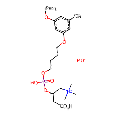 CCCCCOc1cc(C#N)cc(OCCCCOP(=O)(O)OC(CC(=O)O)C[N+](C)(C)C)c1.[OH-]